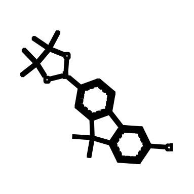 CC1(C)c2ccc(Cl)cc2-c2ccc(B3OC(C)(C)C(C)(C)O3)cc21